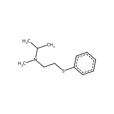 CC(C)N(C)CCSc1ccccc1